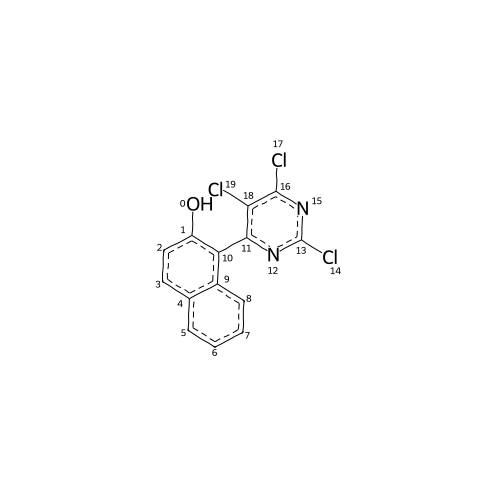 Oc1ccc2ccccc2c1-c1nc(Cl)nc(Cl)c1Cl